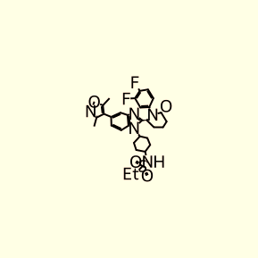 CCS(=O)(=O)NC1CCC(n2c([C@@H]3CCCC(=O)N3c3ccc(F)c(F)c3)nc3cc(-c4c(C)noc4C)ccc32)CC1